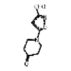 O=Cc1cc(N2CCC(=O)CC2)on1